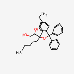 CCCCCC(CCCCC)(OC(c1ccccc1)(c1ccccc1)c1ccccc1)C(O)CO